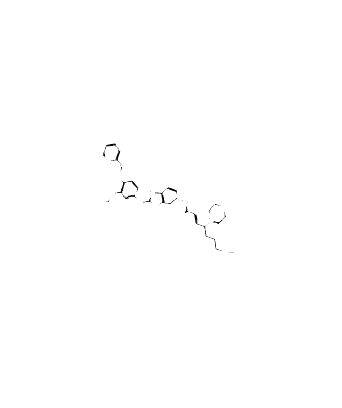 CCCCC(/C=C/C(=O)Nc1ccc2nc(Nc3ccc(OCc4ccccn4)c(OC)c3)sc2c1)N1CCOCC1